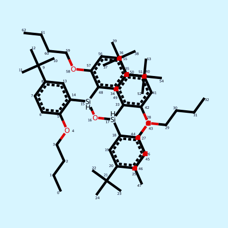 CCCCOc1ccc(C(C)(C)C)cc1[SiH](O[SiH](c1cc(C(C)(C)C)ccc1OCCCC)c1cc(C(C)(C)C)ccc1OCCCC)c1cc(C(C)(C)C)ccc1OCCCC